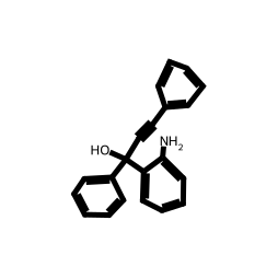 Nc1ccccc1C(O)(C#Cc1ccccc1)c1ccccc1